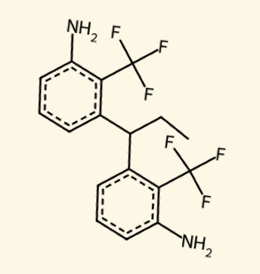 CCC(c1cccc(N)c1C(F)(F)F)c1cccc(N)c1C(F)(F)F